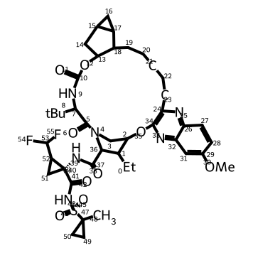 CCC1C2CN(C(=O)C(C(C)(C)C)NC(=O)OC3CC4CC4C3CCCCCc3nc4ccc(OC)cc4nc3O2)C1C(=O)N[C@]1(C(=O)NS(=O)(=O)C2(C)CC2)CC1C(F)F